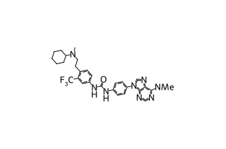 CNc1ncnc2c1ncn2-c1ccc(NC(=O)Nc2ccc(CCN(C)C3CCCCC3)c(C(F)(F)F)c2)cc1